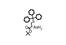 CC(C)(C)OC(=O)[C@@H]([AsH2])CSC(c1ccccc1)(c1ccccc1)c1ccccc1